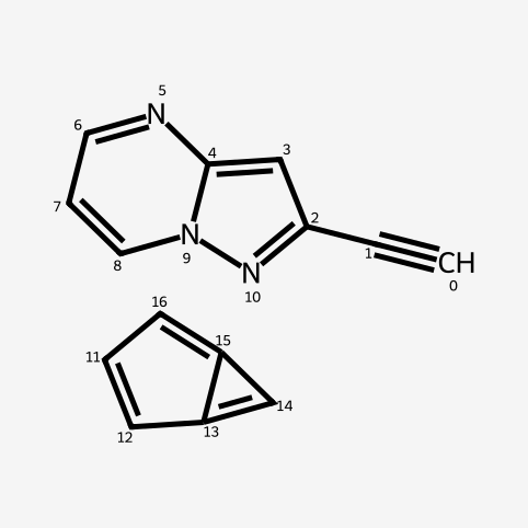 C#Cc1cc2ncccn2n1.c1cc2cc-2c1